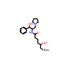 CCCCCCCCCCCC(O)CCCC(=O)NC(CN1CCCC1)C(O)c1ccccc1